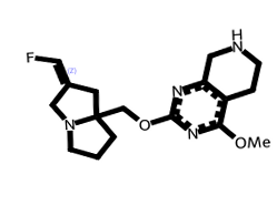 COc1nc(OCC23CCCN2C/C(=C\F)C3)nc2c1CCNC2